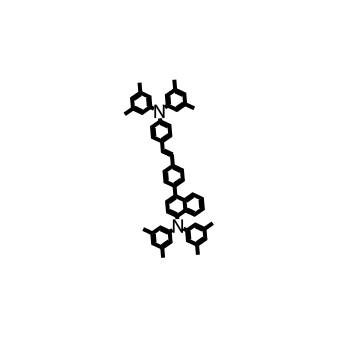 Cc1cc(C)cc(N(c2ccc(/C=C/c3ccc(-c4ccc(N(c5cc(C)cc(C)c5)c5cc(C)cc(C)c5)c5ccccc45)cc3)cc2)c2cc(C)cc(C)c2)c1